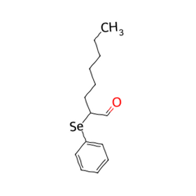 CCCCCCC(C=O)[Se]c1ccccc1